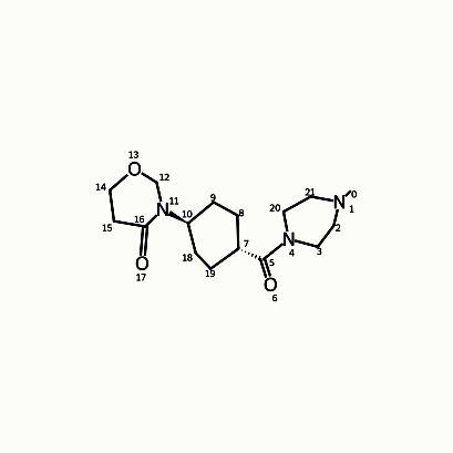 CN1CCN(C(=O)[C@H]2CC[C@H](N3COCCC3=O)CC2)CC1